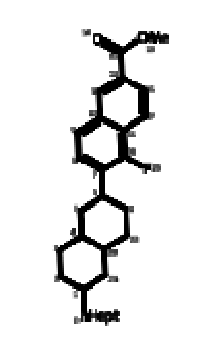 CCCCCCCC1CCC2CC(c3ccc4cc(C(=O)OC)ccc4c3F)CCC2C1